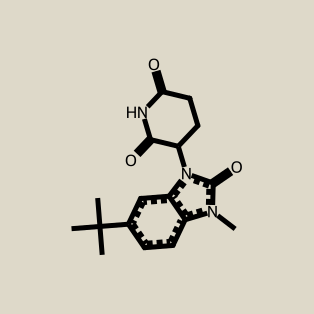 Cn1c(=O)n(C2CCC(=O)NC2=O)c2cc(C(C)(C)C)ccc21